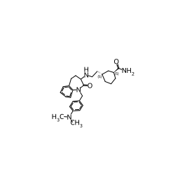 CN(C)c1ccc(CN2C(=O)C(NCC[C@H]3CCC[C@H](C(N)=O)C3)CCc3ccccc32)cc1